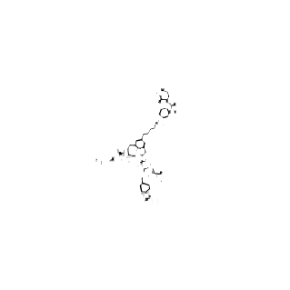 Cn1c(=O)n(C2CCC(=O)NC2=O)c2ccc(NCCCCCc3cc4c5c(c3)C[C@@H](C(=O)N[C@@H](CCC(N)=O)C(=O)NCc3ccc(S(C)(=O)=O)cc3)N5C(=O)[C@@H](NC(=O)OC(C)(C)C)CC4)cc21